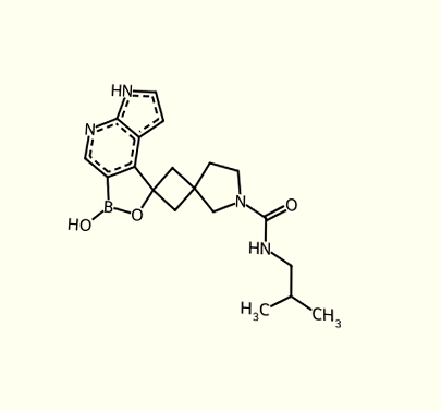 CC(C)CNC(=O)N1CCC2(C1)CC1(C2)OB(O)c2cnc3[nH]ccc3c21